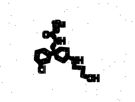 CC(C)(C)OC(=O)NC[C@]1(c2cccc(Cl)c2)CC[C@H](NCCCO)CC1